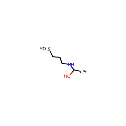 CCCC(O)NCCCS(=O)(=O)O